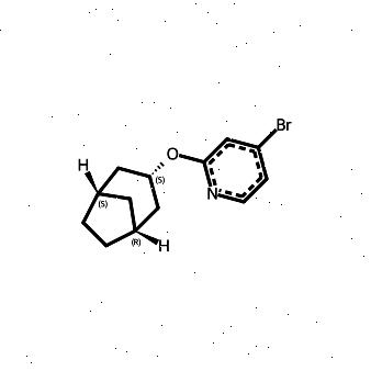 Brc1ccnc(O[C@@H]2C[C@@H]3CC[C@@H](C3)C2)c1